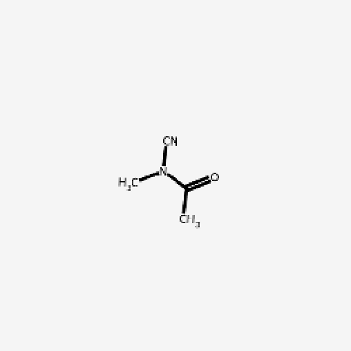 CC(=O)N(C)C#N